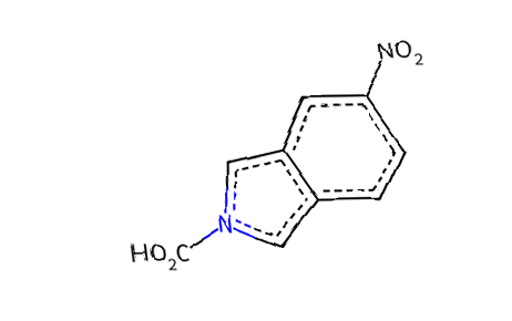 O=C(O)n1cc2ccc([N+](=O)[O-])cc2c1